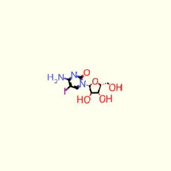 Nc1nc(=O)n([C@@H]2O[C@H](CO)[C@H](O)[C@H]2O)cc1I